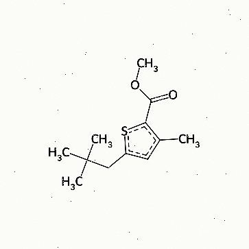 COC(=O)c1sc(CC(C)(C)C)cc1C